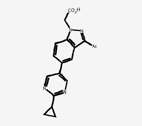 CC(=O)c1nn(CC(=O)O)c2ccc(-c3cnc(C4CC4)nc3)cc12